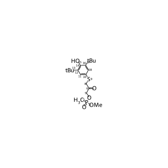 COP(C)(=O)OCC(=O)CSc1cc(C(C)(C)C)c(O)c(C(C)(C)C)c1